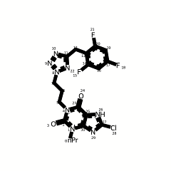 CCCn1c(=O)n(CCCn2nnc(Cc3c(F)cc(F)cc3F)n2)c(=O)c2[nH]c(Cl)nc21